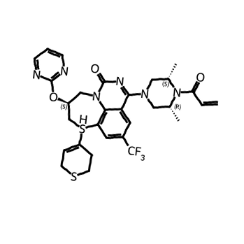 C=CC(=O)N1[C@H](C)CN(c2nc(=O)n3c4c(cc(C(F)(F)F)cc24)[SH](C2=CCSCC2)C[C@@H](Oc2ncccn2)C3)C[C@@H]1C